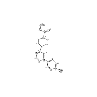 CC(C)(C)OC(=O)N1CCC(c2nccc(-c3ccc(O)cc3)n2)CC1